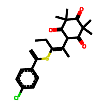 C=C(S/C(CC)=C(\C)C1C(=O)C(C)(C)C(=O)C(C)(C)C1=O)c1ccc(Cl)cc1